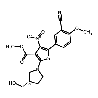 COC(=O)c1c(N2CC[C@H](CO)C2)sc(-c2ccc(OC)c(C#N)c2)c1[N+](=O)[O-]